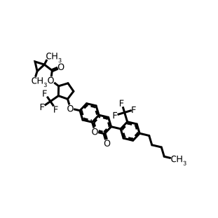 CCCCCc1ccc(-c2cc3ccc(OC4CCC(OC(=O)C5(C)CC5C)C4C(F)(F)F)cc3oc2=O)c(C(F)(F)F)c1